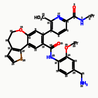 CCCNC(=O)c1ccc(-c2cc3c(cc2C(=O)Nc2ccc(CN)cc2OC(C)C)-c2sccc2CCO3)c(C(=O)O)n1